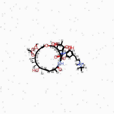 CO[C@H]1/C=C/O[C@@]2(C)Oc3c(C)c(O)c4c(=O)c(c5oc6cc(CCC[N+](C)(C)C(C)(C)C)cc(O)c6nc-5c4c3C2=O)NC(=O)/C(C)=C\C=C\[C@H](C)[C@H](O)[C@@H](C)[C@@H](C)[C@@H](C)[C@H](OC(C)=O)[C@@H]1C